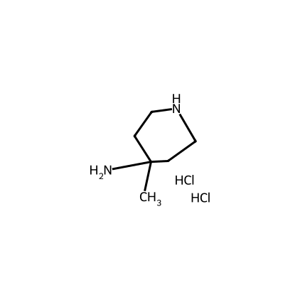 CC1(N)CCNCC1.Cl.Cl